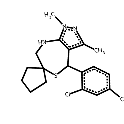 Cc1nn(C)c2c1C(c1ccc(Cl)cc1Cl)SC1(CCCC1)CN2